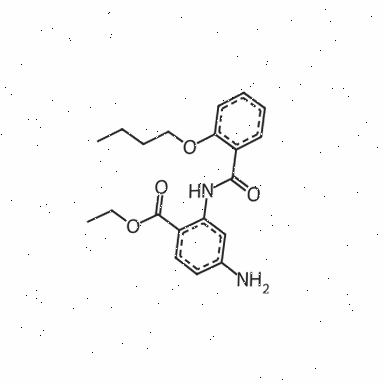 CCCCOc1ccccc1C(=O)Nc1cc(N)ccc1C(=O)OCC